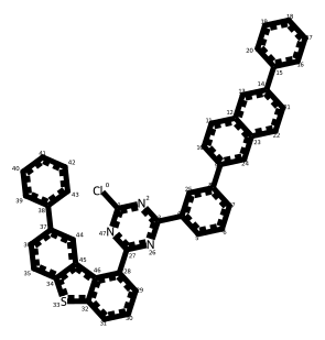 Clc1nc(-c2cccc(-c3ccc4cc(-c5ccccc5)ccc4c3)c2)nc(-c2cccc3sc4ccc(-c5ccccc5)cc4c23)n1